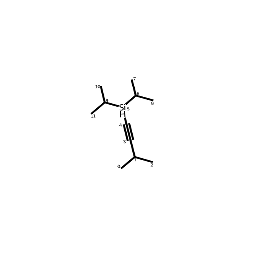 CC(C)C#C[SiH](C(C)C)C(C)C